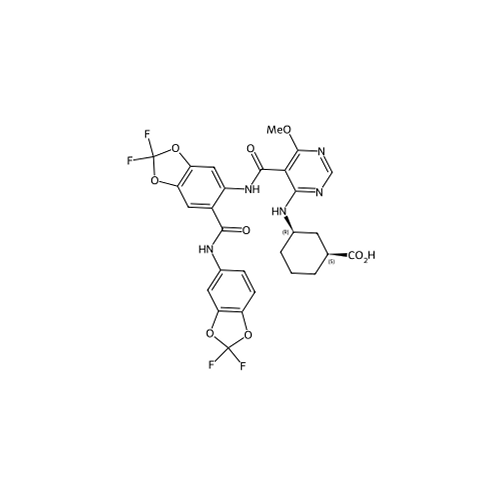 COc1ncnc(N[C@@H]2CCC[C@H](C(=O)O)C2)c1C(=O)Nc1cc2c(cc1C(=O)Nc1ccc3c(c1)OC(F)(F)O3)OC(F)(F)O2